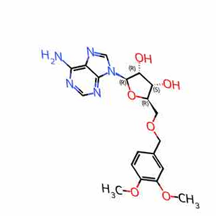 COc1ccc(COC[C@H]2O[C@@H](n3cnc4c(N)ncnc43)[C@H](O)[C@@H]2O)cc1OC